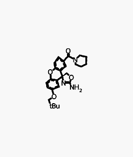 CC(C)(C)COc1ccc2c(c1)[C@]1(COC(N)=N1)c1cc(C(=O)N3CCCCC3)ccc1O2